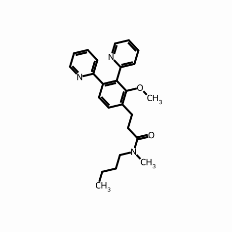 CCCCN(C)C(=O)CCc1ccc(-c2ccccn2)c(-c2ccccn2)c1OC